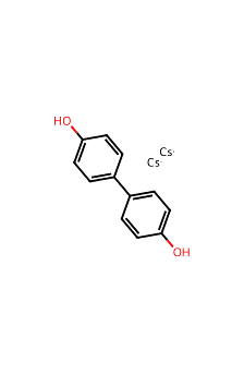 Oc1ccc(-c2ccc(O)cc2)cc1.[Cs].[Cs]